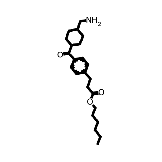 CCCCCCOC(=O)CCc1ccc(C(=O)C2CCC(CN)CC2)cc1